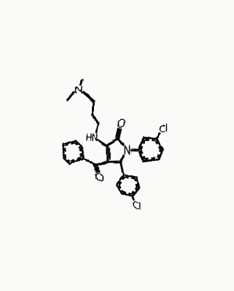 CN(C)CCCNC1=C(C(=O)c2ccccc2)C(c2ccc(Cl)cc2)N(c2cccc(Cl)c2)C1=O